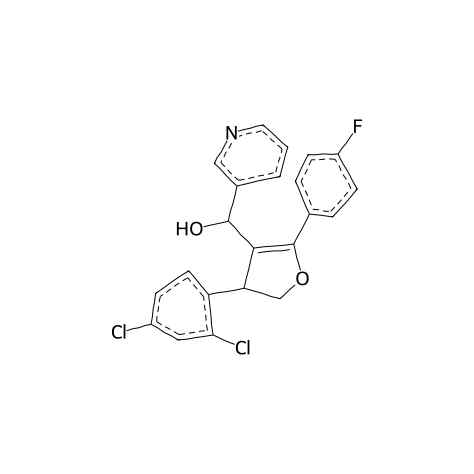 OC(C1=C(c2ccc(F)cc2)OCC1c1ccc(Cl)cc1Cl)c1cccnc1